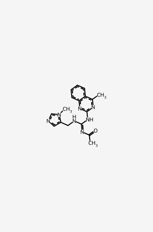 CC(=O)/N=C(/NCc1cncn1C)Nc1nc(C)c2ccccc2n1